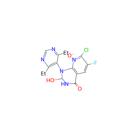 CCc1ncnc(CC)c1N1c2c(cc(F)c(Cl)[n+]2[O-])C(=O)NC1O